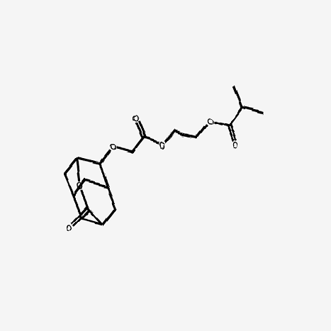 CC(C)C(=O)OCCOC(=O)COC1C2CC3CC(C2)C(=O)OC1C3